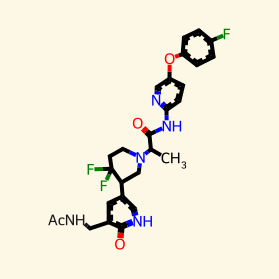 CC(=O)NCc1cc(C2CN(C(C)C(=O)Nc3ccc(Oc4ccc(F)cc4)cn3)CCC2(F)F)c[nH]c1=O